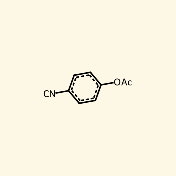 [C-]#[N+]c1ccc(OC(C)=O)cc1